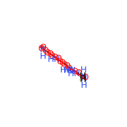 CC(C)(C)OC(=O)NCCOCCOCCOCCOCCOCCNC(=O)CCOCCOCCOCCOCCOC/C(=C/NCCOCCNC(=O)CCCC[C@@H]1SC[C@H]2NC(=O)N[C@@H]12)N=N